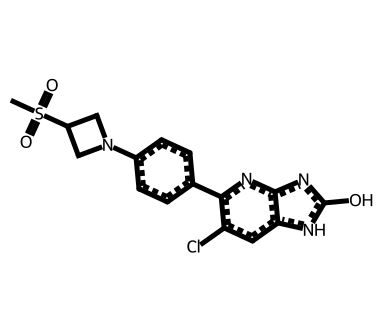 CS(=O)(=O)C1CN(c2ccc(-c3nc4nc(O)[nH]c4cc3Cl)cc2)C1